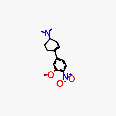 COc1cc(C2=CCC(N(C)C)CC2)ccc1[N+](=O)[O-]